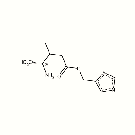 CC(CC(=O)OCc1cncs1)[C@H](N)C(=O)O